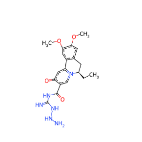 CC[C@@H]1Cc2cc(OC)c(OC)cc2-c2cc(=O)c(C(=O)NC(=N)NNN)cn21